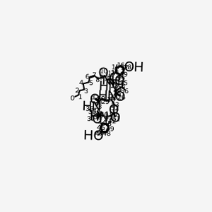 CCCCCC/C=C\CC(=O)N[C@@H](Cc1ccc(O)cc1)C(=O)N[C@H](C(=O)N[C@@H]1/C=C/C(=O)N[C@@H](C(C)C)C(=O)N[C@@H](Cc2ccc(O)cc2)C(=O)OC1)C(C)C